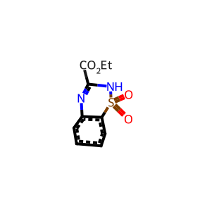 CCOC(=O)C1=Nc2ccccc2S(=O)(=O)N1